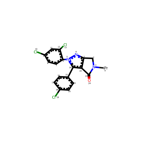 CC(C)N1Cc2nn(-c3ccc(Cl)cc3Cl)c(-c3ccc(Cl)cc3)c2C1=O